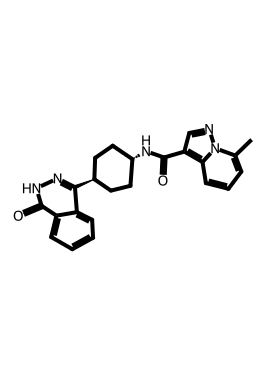 Cc1cccc2c(C(=O)N[C@H]3CC[C@H](c4n[nH]c(=O)c5ccccc54)CC3)cnn12